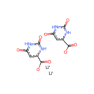 O=C([O-])c1cc(=O)[nH]c(=O)[nH]1.O=C([O-])c1cc(=O)[nH]c(=O)[nH]1.[Li+].[Li+]